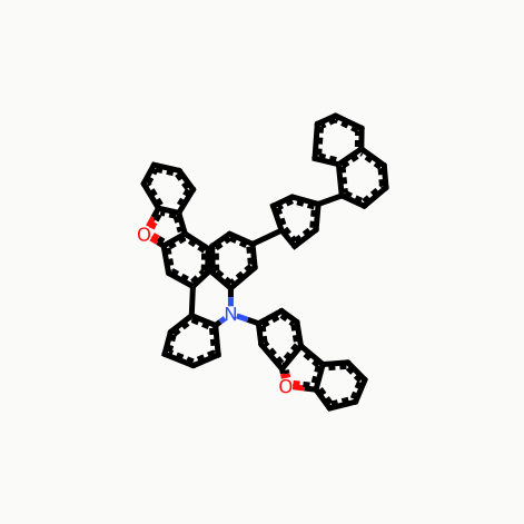 c1cc(-c2ccc(-c3cccc4ccccc34)cc2)cc(N(c2ccc3c(c2)oc2ccccc23)c2ccccc2-c2ccc3c(c2)oc2ccccc23)c1